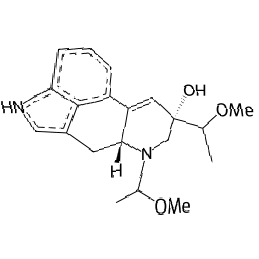 COC(C)N1C[C@](O)(C(C)OC)C=C2c3cccc4[nH]cc(c34)C[C@H]21